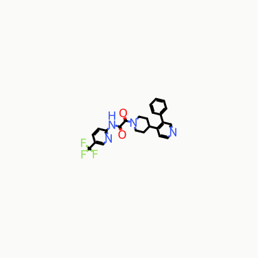 O=C(Nc1ccc(C(F)(F)F)cn1)C(=O)N1CCC(c2ccncc2-c2ccccc2)CC1